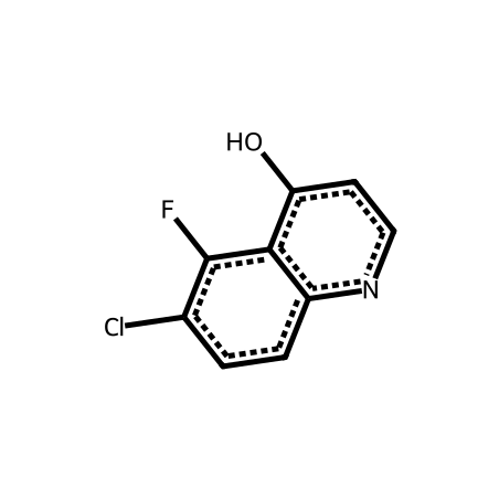 Oc1ccnc2ccc(Cl)c(F)c12